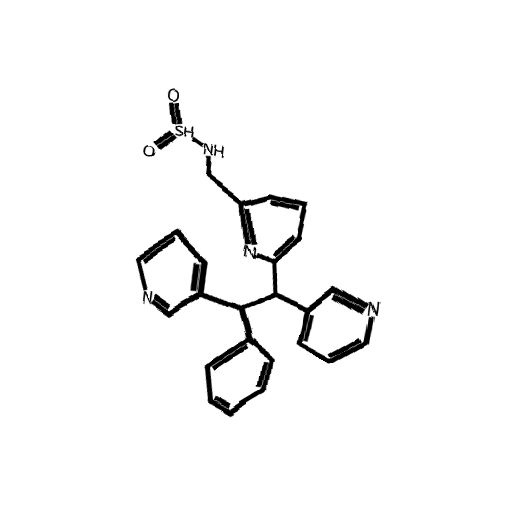 O=[SH](=O)NCc1cccc(C(c2cccnc2)C(c2ccccc2)c2cccnc2)n1